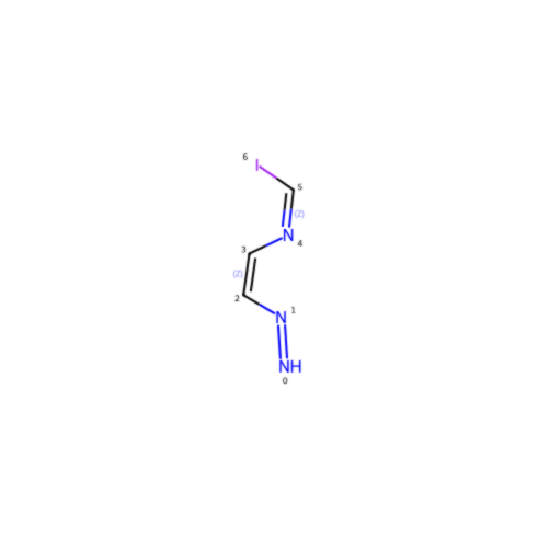 N=N/C=C\N=C/I